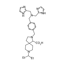 CCC(CC)N1CCC2(CC1)CCN(Cc1ccc(CN(Cc3ncc[nH]3)Cc3ncc[nH]3)cc1)C2C(=O)O